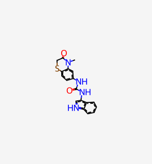 CN1C(=O)CSc2ccc(NC(=O)Nc3c[nH]c4ccccc34)cc21